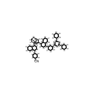 N#Cc1ccc(-c2ccc(C34CC5CC(C3)CC(c3ccc(-c6cccc(-c7nc(-c8ccccc8)nc(-c8ccccc8)n7)c6)c6ccccc36)(C5)C4)c3ccccc23)cc1